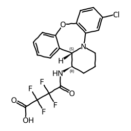 O=C(O)C(F)(F)C(F)(F)C(=O)N[C@@H]1CCCN2c3cc(Cl)ccc3Oc3ccccc3[C@@H]12